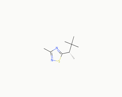 Cc1nsc([C@@H](C)C(C)(C)C)n1